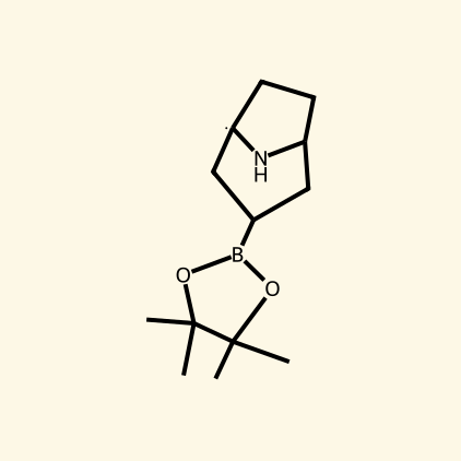 CC1(C)OB(C2C[C]3CCC(C2)N3)OC1(C)C